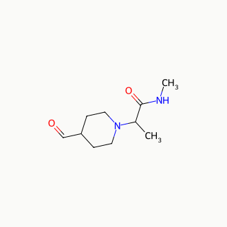 CNC(=O)C(C)N1CCC(C=O)CC1